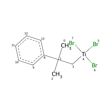 CC(C)([CH2][Ti]([Br])([Br])[Br])c1ccccc1